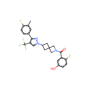 Cc1cc(-c2nn(C3CC4(C3)CN(C(=O)c3cc(O)ccc3F)C4)cc2C(F)(F)F)ccc1F